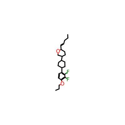 CCC/C=C/C1CCC(C2CCC(c3ccc(OCCC)c(F)c3F)CC2)CO1